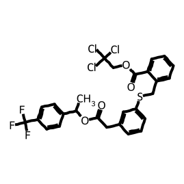 CC(OC(=O)Cc1cccc(SCc2ccccc2C(=O)OCC(Cl)(Cl)Cl)c1)c1ccc(C(F)(F)F)cc1